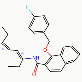 CC/C=C\C=C(/CC)NC(=O)c1ccc2ccccc2c1OCc1ccc(F)cc1